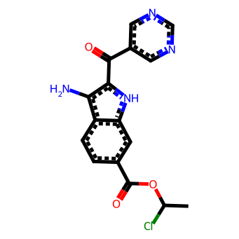 CC(Cl)OC(=O)c1ccc2c(N)c(C(=O)c3cncnc3)[nH]c2c1